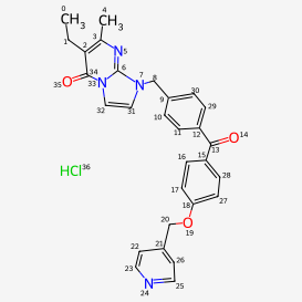 CCc1c(C)nc2n(Cc3ccc(C(=O)c4ccc(OCc5ccncc5)cc4)cc3)ccn2c1=O.Cl